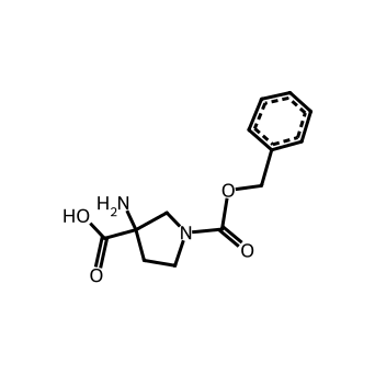 NC1(C(=O)O)CCN(C(=O)OCc2ccccc2)C1